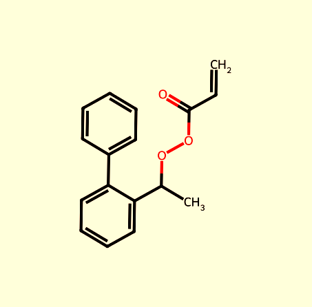 C=CC(=O)OOC(C)c1ccccc1-c1ccccc1